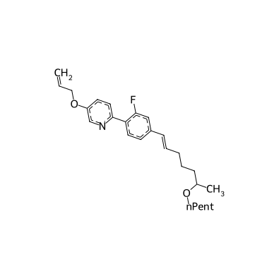 C=CCOc1ccc(-c2ccc(C=CCCCC(C)OCCCCC)cc2F)nc1